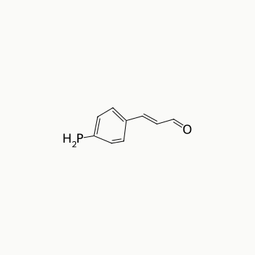 O=C/C=C/c1ccc(P)cc1